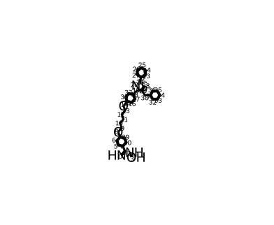 N=C(NO)c1ccc(OCCCCCOc2ccc(-c3nc(-c4ccccc4)sc3Cc3ccccc3)cc2)cc1